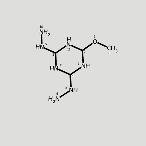 COC1NC(NN)NC(NN)N1